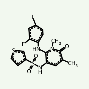 Cc1cc(NS(=O)(=O)c2ccsc2)c(Nc2ccc(I)cc2F)n(C)c1=O